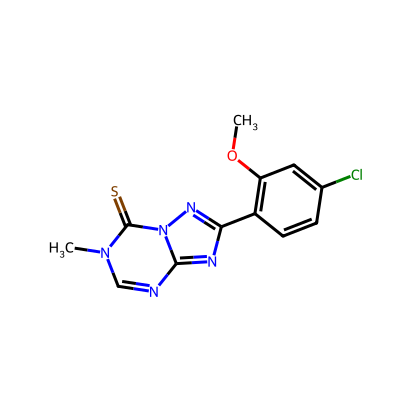 COc1cc(Cl)ccc1-c1nc2ncn(C)c(=S)n2n1